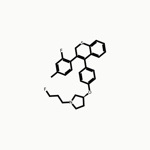 Cc1ccc(C2=C(c3ccc(O[C@H]4CCN(CCCF)C4)cc3)c3ccccc3SC2)c(F)c1